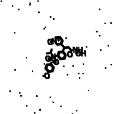 COc1ccc(S(=O)(=O)N(c2cccc(/C(=C\C(=O)NO)c3ccc[n+]([O-])c3)c2)C(C)C)cc1